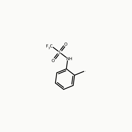 [CH2]c1ccccc1NS(=O)(=O)C(F)(F)F